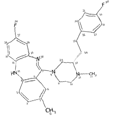 Cc1ccc2c(c1)C(N1CCN(C)[C@@H](CCc3ccc(F)cc3)C1)=Nc1cc(F)ccc1N2